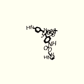 CNc1ccc(-c2ncc(-c3ccc(NC(=O)OCc4ncc[nH]4)cc3S(=O)(=O)NC(C)(C)C)s2)cc1